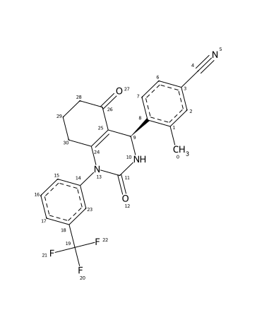 Cc1cc(C#N)ccc1[C@H]1NC(=O)N(c2cccc(C(F)(F)F)c2)C2=C1C(=O)CCC2